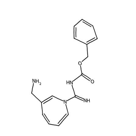 N=C(NC(=O)OCc1ccccc1)N1C=CC=CC(CN)=C1